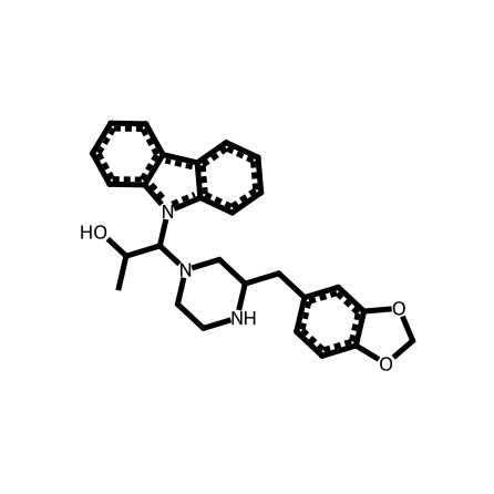 CC(O)C(N1CCNC(Cc2ccc3c(c2)OCO3)C1)n1c2ccccc2c2ccccc21